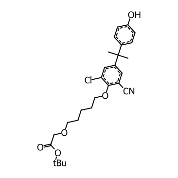 CC(C)(C)OC(=O)COCCCCCOc1c(Cl)cc(C(C)(C)c2ccc(O)cc2)cc1C#N